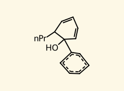 CCCC1C=CC=CC1(O)c1ccccc1